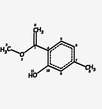 C=C(OC)c1ccc(C)cc1O